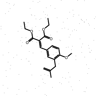 C=C(C)Cc1cc(C=C(C(=O)OCC)C(=O)OCC)ccc1OC